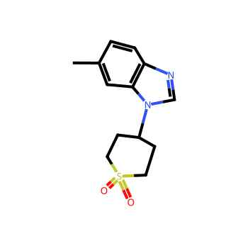 Cc1ccc2ncn(C3CCS(=O)(=O)CC3)c2c1